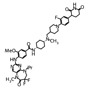 COc1cc(C(=O)N[C@H]2CC[C@@H](N(C)CC3CCN(c4ccc(C5CCC(=O)NC5=O)cc4F)CC3)CC2)ccc1Nc1ncc2c(n1)N(C(C)C)CC(F)(F)C(=O)N2C